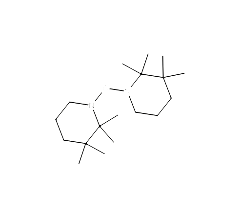 CC1(C)CCCN(ON2CCCC(C)(C)C2(C)C)C1(C)C